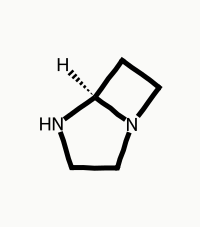 C1CN2CC[C@@H]2N1